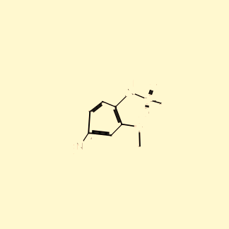 COc1cc(N)ccc1NS(C)(=O)=O